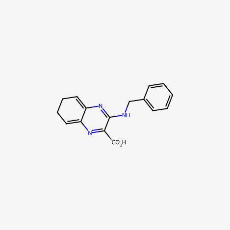 O=C(O)c1nc2c(nc1NCc1ccccc1)=CCCC=2